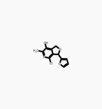 Cc1nc(Cl)c2c(c1O)COC2c1ccco1